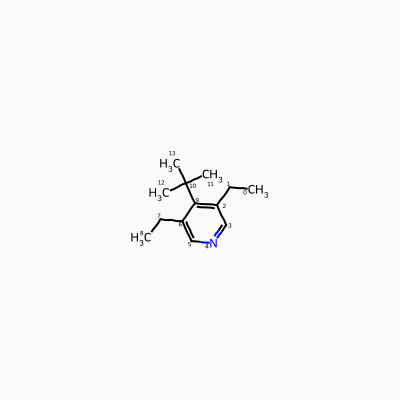 CCc1cncc(CC)c1C(C)(C)C